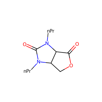 CCCN1C(=O)N(CCC)C2C(=O)OCC21